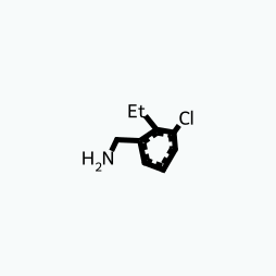 CCc1c(Cl)cccc1CN